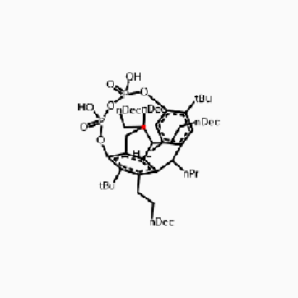 CCCCCCCCCCCCc1c2c(C(C)(C)C)c(CCCCCCCCCCCC)c(c1C(CCCCCCCCCCCC)CCCCCCCCCCCC)C(CCC)c1cc(C(C)(C)C)c(cc1C)OP(=O)(O)OP(=O)(O)O2